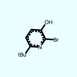 CC(C)(C)c1ccc(O)c(Br)n1